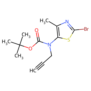 C#CCN(C(=O)OC(C)(C)C)c1sc(Br)nc1C